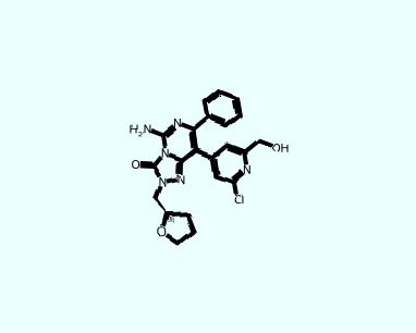 Nc1nc(-c2ccccc2)c(-c2cc(Cl)nc(CO)c2)c2nn(C[C@H]3CCCO3)c(=O)n12